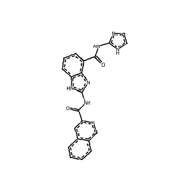 O=C(Nc1nc2c(C(=O)Nc3ncc[nH]3)cccc2[nH]1)c1cc2ccccc2cn1